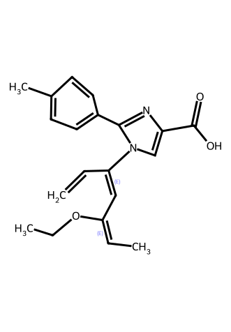 C=C/C(=C\C(=C/C)OCC)n1cc(C(=O)O)nc1-c1ccc(C)cc1